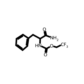 NC(=O)C(Cc1ccccc1)NC(=O)OCC(F)(F)F